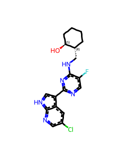 O[C@H]1CCCC[C@@H]1CNc1nc(-c2c[nH]c3ncc(Cl)cc23)ncc1F